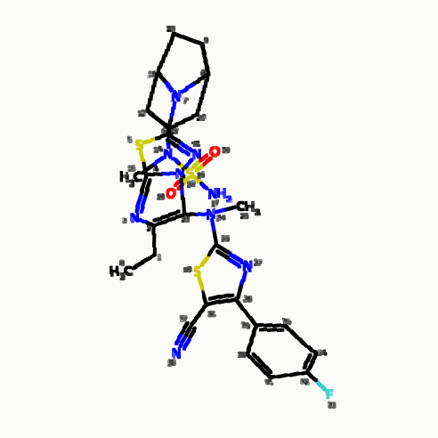 CCc1nc2sc(N3C4CCC3CC(N(C)S(N)(=O)=O)C4)nn2c1N(C)c1nc(-c2ccc(F)cc2)c(C#N)s1